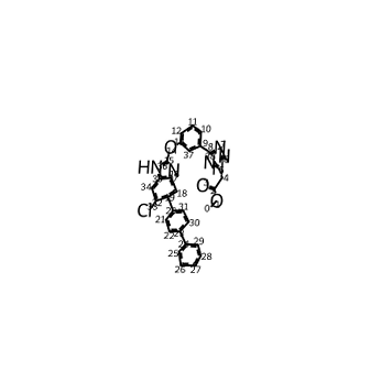 COC(=O)Cn1nnc(-c2cccc(Oc3nc4cc(-c5ccc(-c6ccccc6)cc5)c(Cl)cc4[nH]3)c2)n1